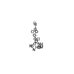 Cc1c(COc2cc(OCc3cncc(C#N)c3)c(CNC(C)(CO)C(=O)O)cc2Cl)cccc1-c1cccc(OCCCN2CCCCC2)c1Cl